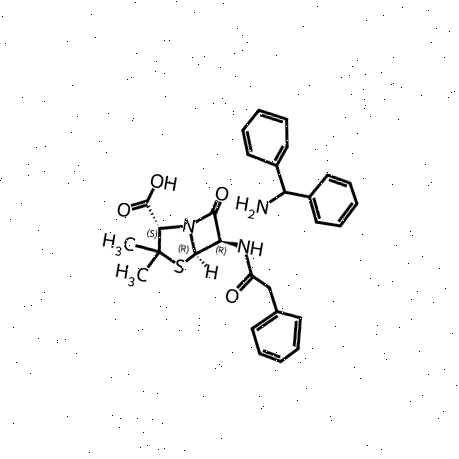 CC1(C)S[C@@H]2[C@H](NC(=O)Cc3ccccc3)C(=O)N2[C@H]1C(=O)O.NC(c1ccccc1)c1ccccc1